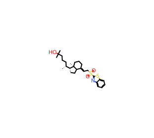 C[C@H](CCCC(C)(C)O)[C@H]1CCC2/C(=C/CS(=O)(=O)c3nc4ccccc4s3)CCC[C@@]21C